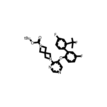 CC(C)(C)OC(=O)N1CC2(C1)CN(c1ncncc1Oc1ccc(F)cc1-c1ccc(F)cc1C(C)(C)F)C2